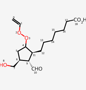 C=COOC1C[C@H](CO)[C@@H](C=O)[C@@H]1CCCCCCC(=O)O